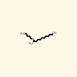 [CH]=CCCCCCCCCC(C)OCCCCC